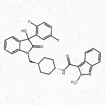 Cn1nc2ccccc2c1C(=O)N[C@H]1CC[C@H](CN2C(=O)C(O)(c3cc(F)ccc3F)c3ccccc32)CC1